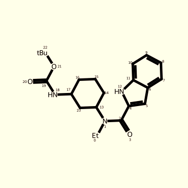 CCN(C(=O)c1cc2ccccc2[nH]1)C1CCCC(NC(=O)OC(C)(C)C)C1